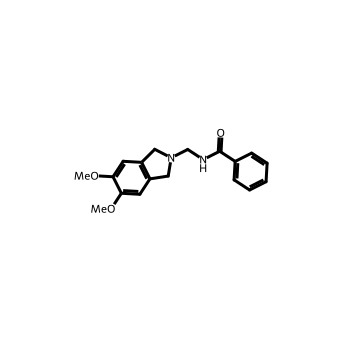 COc1cc2c(cc1OC)CN(CNC(=O)c1ccccc1)C2